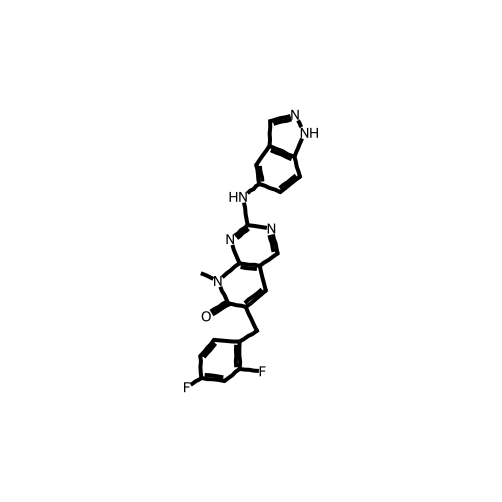 Cn1c(=O)c(Cc2ccc(F)cc2F)cc2cnc(Nc3ccc4[nH]ncc4c3)nc21